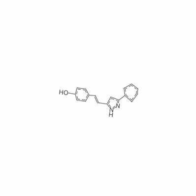 Oc1ccc(/C=C/c2cc(-c3ccccc3)n[nH]2)cc1